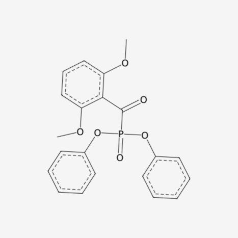 COc1cccc(OC)c1C(=O)P(=O)(Oc1ccccc1)Oc1ccccc1